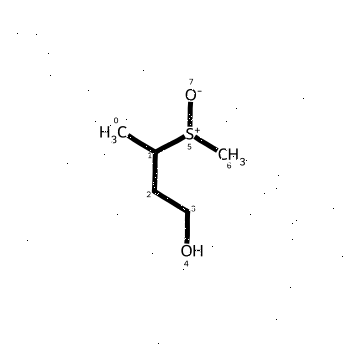 CC(CCO)[S+](C)[O-]